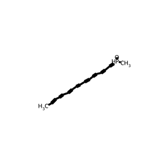 CC#CC#CC#CC#CC#CC#CC#CC#C[PH](C)=O